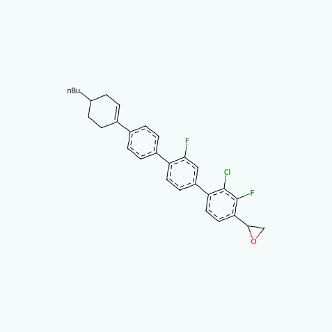 CCCCC1CC=C(c2ccc(-c3ccc(-c4ccc(C5CO5)c(F)c4Cl)cc3F)cc2)CC1